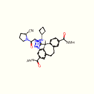 CNC(=O)c1ccc2c(c1)CCc1cc(C(=O)NC)ccc1C2(C[C@H](NCC(=O)N1CCC[C@H]1C#N)C1CCC1)c1nnn[nH]1